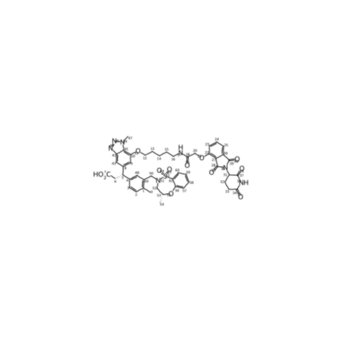 Cc1ccc([C@H](CC(=O)O)c2cc(OCCCCCNC(=O)COc3cccc4c3C(=O)N(C3CCC(=O)NC3=O)C4=O)c3c(c2)nnn3C)cc1CN1C[C@@H](C)Oc2ccccc2S1(=O)=O